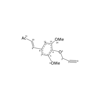 C#CCOc1c(OC)cc(C=CC(C)=O)cc1OC